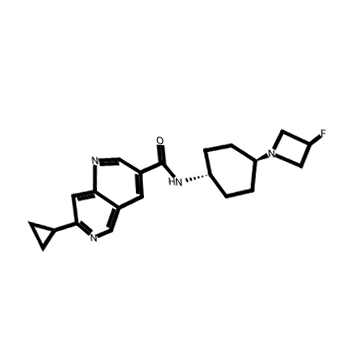 O=C(N[C@H]1CC[C@H](N2CC(F)C2)CC1)c1cnc2cc(C3CC3)ncc2c1